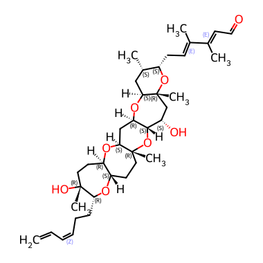 C=C/C=C\CC[C@H]1O[C@H]2CC[C@@]3(C)O[C@H]4[C@@H](O)C[C@@]5(C)O[C@@H](C/C=C(C)/C(C)=C/C=O)[C@@H](C)C[C@@H]5O[C@@H]4C[C@@H]3O[C@@H]2CC[C@@]1(C)O